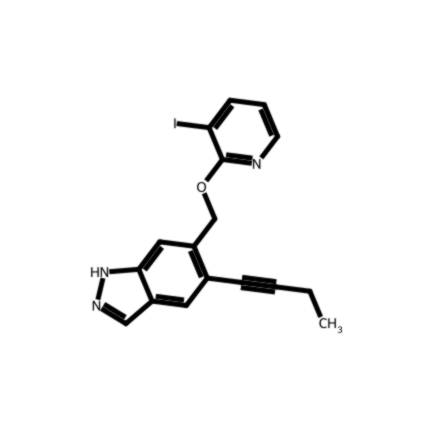 CCC#Cc1cc2cn[nH]c2cc1COc1ncccc1I